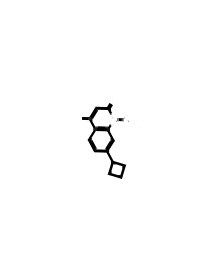 Nn1c(=O)cc(C(F)(F)F)c2ccc(C3CCC3)cc21